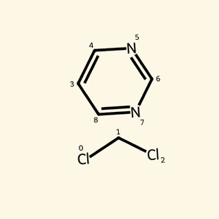 ClCCl.c1cncnc1